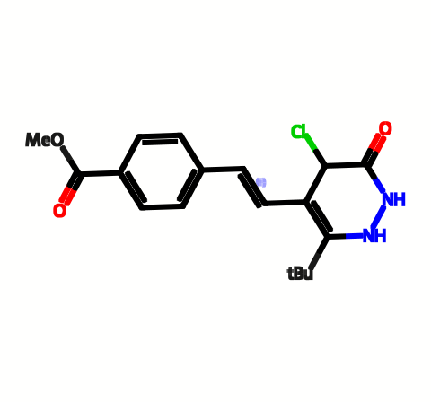 COC(=O)c1ccc(/C=C/C2=C(C(C)(C)C)NNC(=O)C2Cl)cc1